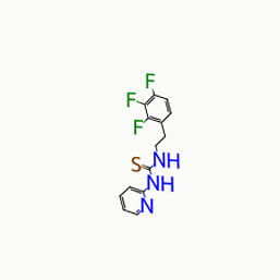 Fc1ccc(CCNC(=S)Nc2ccccn2)c(F)c1F